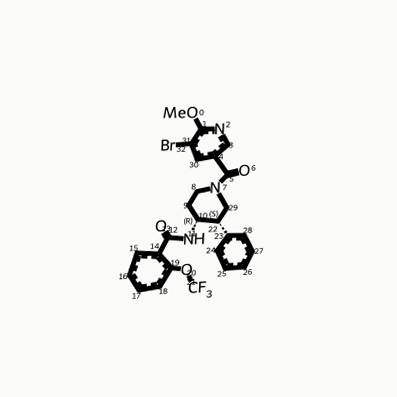 COc1ncc(C(=O)N2CC[C@@H](NC(=O)c3ccccc3OC(F)(F)F)[C@@H](c3ccccc3)C2)cc1Br